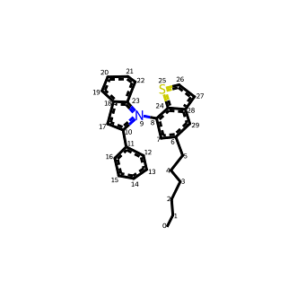 CCCCCCc1cc(-n2c(-c3ccccc3)cc3ccccc32)c2sccc2c1